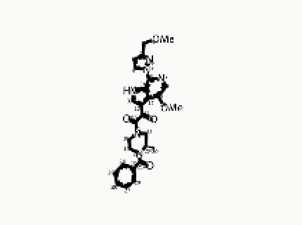 COCc1ccn(-c2ncc(OC)c3c(C(=O)C(=O)N4CCN(C(=O)c5ccccc5)[C@H](C)C4)c[nH]c23)n1